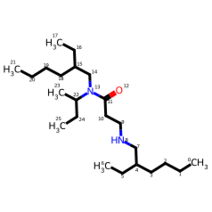 CCCCC(CC)CNCCC(=O)N(CC(CC)CCCC)C(C)CC